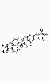 C/C(=C\c1cnc2c(c1)CCN2S(=O)(=O)c1cccc2c(N(C)C)cccc12)C(=O)O